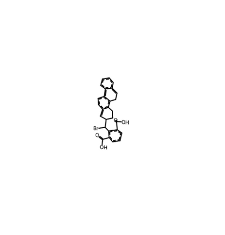 O=C(O)c1cccc(C(=O)O)c1C(Br)C1C=c2ccc3c(c2CC1)CC=c1ccccc1=3